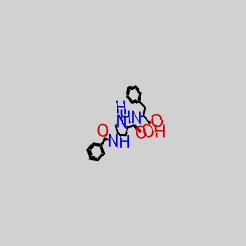 O=C(NC1CNC(C(=O)NC(Cc2ccccc2)C(=O)O)C1)c1ccccc1